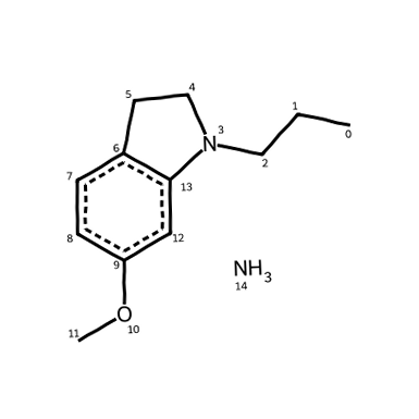 CCCN1CCc2ccc(OC)cc21.N